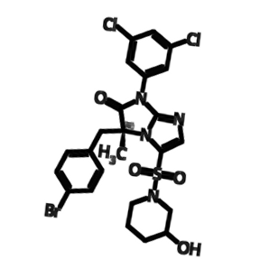 C[C@@]1(Cc2ccc(Br)cc2)C(=O)N(c2cc(Cl)cc(Cl)c2)c2ncc(S(=O)(=O)N3CCCC(O)C3)n21